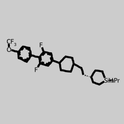 CCC[Si@H]1CC[C@H](CCC2CCC(c3cc(F)c(-c4ccc(OC(F)(F)F)cc4)c(F)c3)CC2)CC1